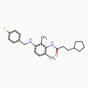 Cc1ccc(NCc2ccc(F)cc2)c(C)c1NC(=O)CCC1CCCC1